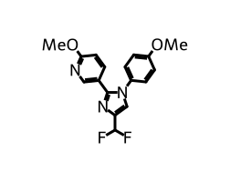 COc1ccc(-n2cc(C(F)F)nc2-c2ccc(OC)nc2)cc1